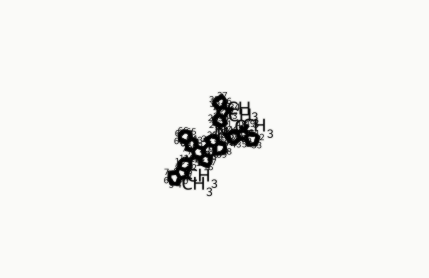 CC1(C)c2ccccc2-c2ccc(-c3c4ccccc4c(-c4ccc(N(c5ccc6c(c5)C(C)(C)c5ccccc5-6)c5ccc6c(c5)C(C)(C)c5ccccc5-6)c5ccccc45)c4cc5ccccc5cc34)cc21